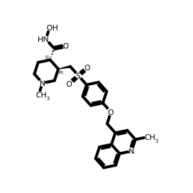 Cc1cc(COc2ccc(S(=O)(=O)C[C@H]3CN(C)CC[C@@H]3C(=O)NO)cc2)c2ccccc2n1